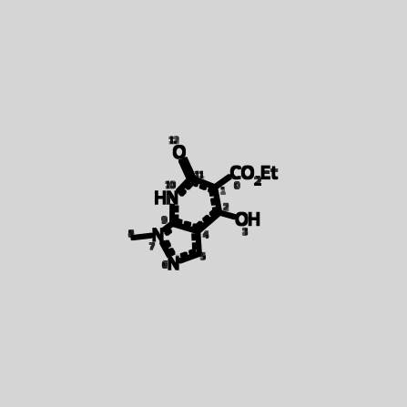 CCOC(=O)c1c(O)c2cnn(C)c2[nH]c1=O